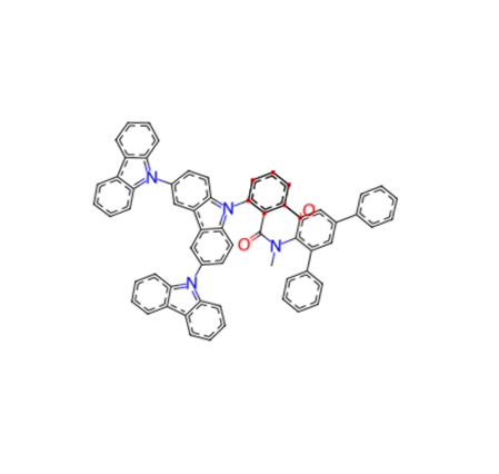 CN(C(=O)c1c(C=O)cccc1-n1c2ccc(-n3c4ccccc4c4ccccc43)cc2c2cc(-n3c4ccccc4c4ccccc43)ccc21)c1c(-c2ccccc2)cc(-c2ccccc2)cc1-c1ccccc1